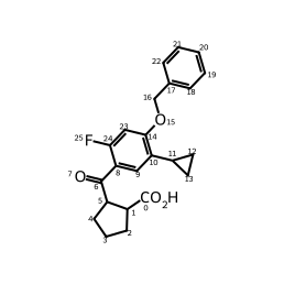 O=C(O)C1CCCC1C(=O)c1cc(C2CC2)c(OCc2ccccc2)cc1F